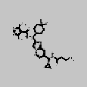 Cc1noc(C(C)C)c1C(=O)N[C@H](c1cn2ncc([C@H](NC(=O)CCC(F)(F)F)C3CC3)cc2n1)C1CCC(F)(F)CC1